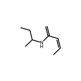 C=C(/C=C\C)NC(C)CC